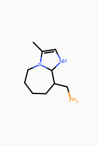 CC1=CNC2C(CP)CCCCN12